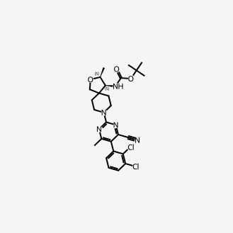 Cc1nc(N2CCC3(CC2)CO[C@@H](C)[C@H]3NC(=O)OC(C)(C)C)nc(C#N)c1-c1cccc(Cl)c1Cl